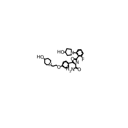 NC(=O)c1nc(-c2c(F)cccc2N2CCC(O)CC2)oc1-c1ccc(OCCN2CCC(O)CC2)cc1